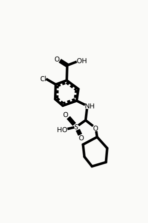 O=C(O)c1cc(NC(OC2CCCCC2)S(=O)(=O)O)ccc1Cl